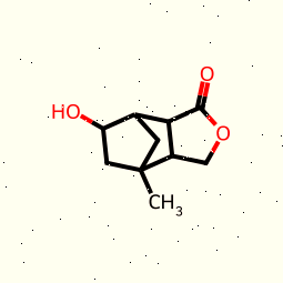 CC12CC(O)C(C1)C1C(=O)OCC12